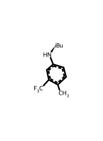 CC[C@H](C)Nc1ccc(C)c(C(F)(F)F)c1